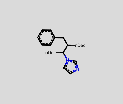 CCCCCCCCCCC(Cc1ccccc1)C(CCCCCCCCCC)n1ccnc1